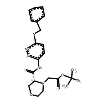 CC(C)(C)OC(=O)CN1CCOC[C@@H]1C(=O)Nc1ccc(SCc2ccccc2)nn1